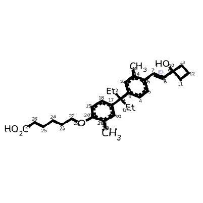 CCC(CC)(c1ccc(/C=C/C2(O)CCC2)c(C)c1)c1ccc(OCCCCCC(=O)O)c(C)c1